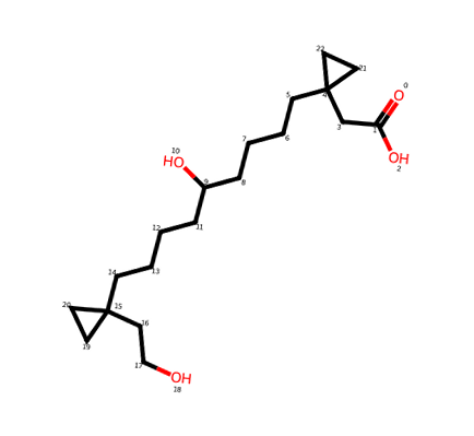 O=C(O)CC1(CCCCC(O)CCCCC2(CCO)CC2)CC1